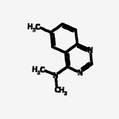 Cc1ccc2ncnc(N(C)C)c2c1